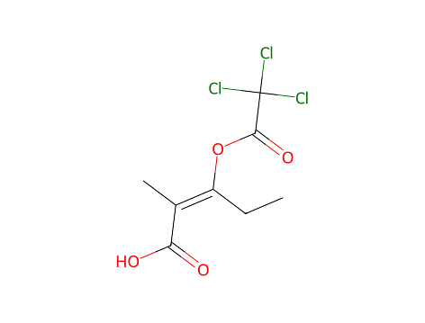 CC/C(OC(=O)C(Cl)(Cl)Cl)=C(/C)C(=O)O